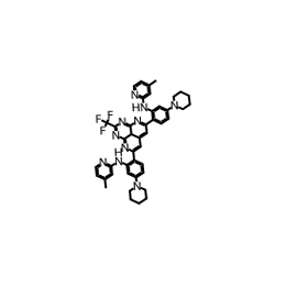 Cc1ccnc(Nc2cc(N3CCCCC3)ccc2C2=CC3=CC(c4ccc(N5CCCCC5)cc4Nc4cc(C)ccn4)=NC4=NC(C(F)(F)F)=NC(=N2)C34)c1